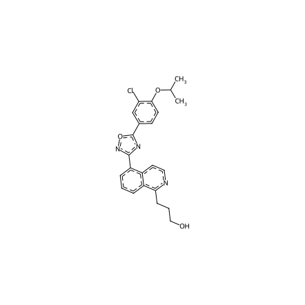 CC(C)Oc1ccc(-c2nc(-c3cccc4c(CCCO)nccc34)no2)cc1Cl